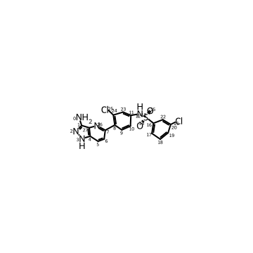 Nc1n[nH]c2ccc(-c3ccc(NS(=O)(=O)c4cccc(Cl)c4)cc3Cl)nc12